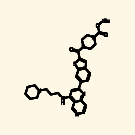 CC(C)(C)OC(=O)N1CCN(C(=O)c2cc3ccc(-c4cc(NCCCN5CCCCC5)c5cnccc5n4)cc3s2)CC1